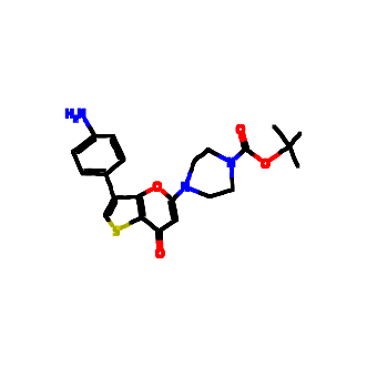 CC(C)(C)OC(=O)N1CCN(c2cc(=O)c3scc(-c4ccc(N)cc4)c3o2)CC1